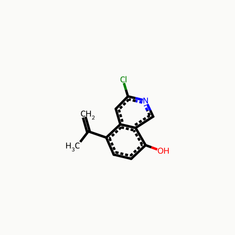 C=C(C)c1ccc(O)c2cnc(Cl)cc12